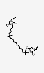 C=CN1CC(=O)N(CC(C)(C)CCCCOCCCCC(C)(C)CCCCN2C(=O)CN(CC)C2=O)C1=O